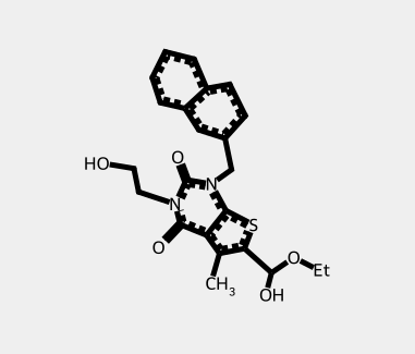 CCOC(O)c1sc2c(c1C)c(=O)n(CCO)c(=O)n2Cc1ccc2ccccc2c1